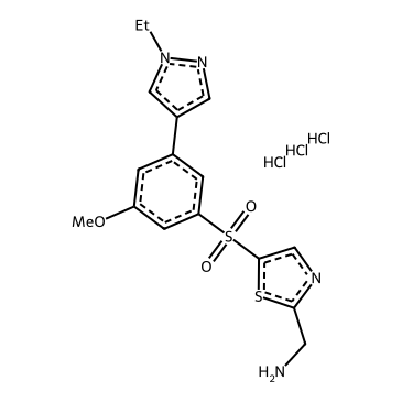 CCn1cc(-c2cc(OC)cc(S(=O)(=O)c3cnc(CN)s3)c2)cn1.Cl.Cl.Cl